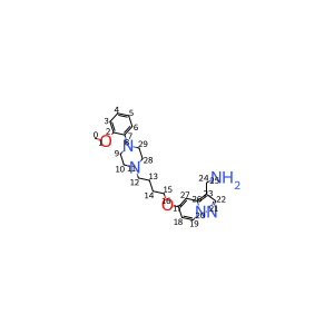 COc1ccccc1N1CCN(CCCCOc2ccn3ncc(CN)c3c2)CC1